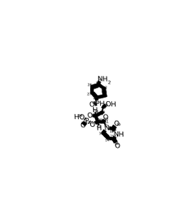 Nc1ccc([PH](=O)C(O)[C@H]2O[C@@H](n3ccc(=O)[nH]c3=O)[C@@H]3OP(=O)(O)O[C@@H]32)cc1